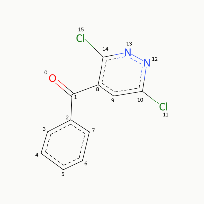 O=C(c1ccccc1)c1cc(Cl)nnc1Cl